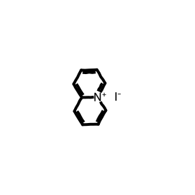 [I-].c1cc[n+]2ccccc2c1